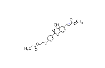 C=CC(=O)OCCOc1ccc(C(=O)Oc2ccc(/C=C/C(=O)OC)cc2OC)cc1